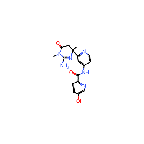 CN1C(=O)CC(C)(c2cc(NC(=O)c3ccc(O)cn3)ccn2)N=C1N